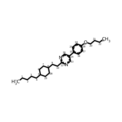 CCCCCC1CCC(CCc2ncc(-c3ccc(OCCCC)cc3)cn2)CC1